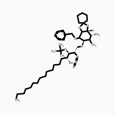 CCCCCCCCCCCCCC[C@@H](O)[C@@H](OC(C)(C)C)[C@H](CO[C@H]1C(OCc2ccccc2)C2OC3(CCCCC3)O[C@@H]2[C@H](C)C1C)N=[N+]=[N-]